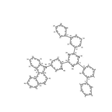 c1ccc(-c2cccc(-c3nc(-c4cccc(-c5ccccc5)c4)nc(-c4ccc(-n5c6ccccc6c6c7ccccc7ccc65)cn4)n3)c2)cc1